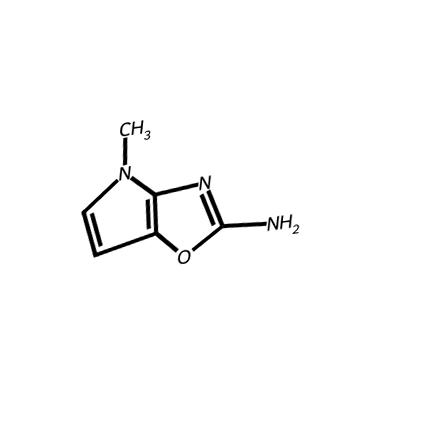 Cn1ccc2oc(N)nc21